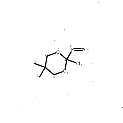 CC1(C)COC(Cl)(P=S)OC1